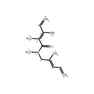 C=C/C=C(\C)CN(C)C(=O)/C(C)=C(\O)C=C